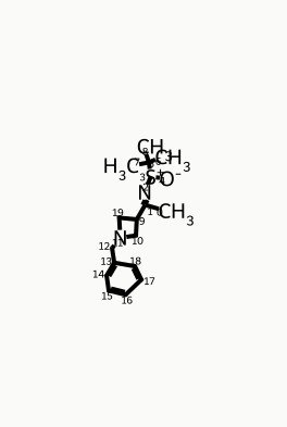 C/C(=N\[S+]([O-])C(C)(C)C)C1CN(Cc2ccccc2)C1